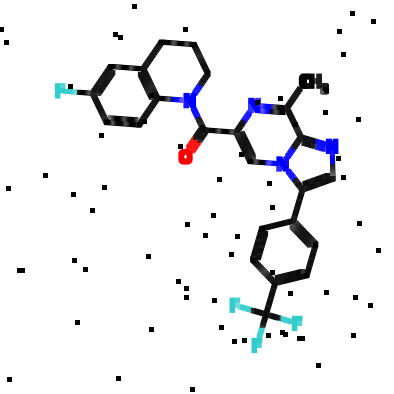 Cc1nc(C(=O)N2CCCc3cc(F)ccc32)cn2c(-c3ccc(C(F)(F)F)cc3)cnc12